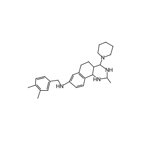 Cc1ccc(CNc2ccc3c(c2)CCC2C3NC(C)NC2N2CCCCC2)cc1C